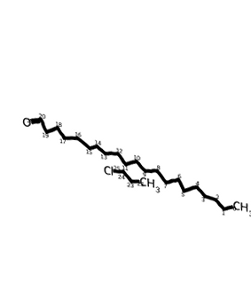 CCCCCCCCCCCCCCCCCCCCC=O.CCCCl